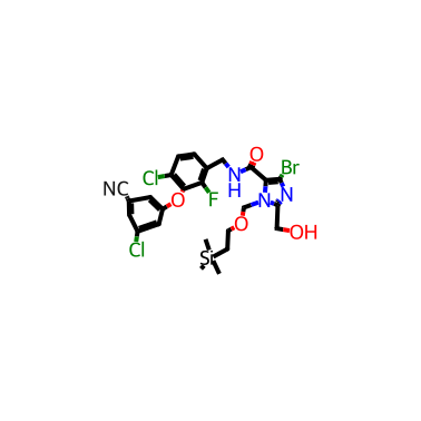 C[Si](C)(C)CCOCn1c(CO)nc(Br)c1C(=O)NCc1ccc(Cl)c(Oc2cc(Cl)cc(C#N)c2)c1F